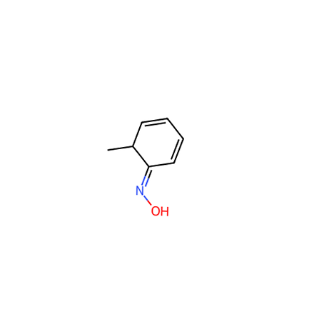 CC1C=CC=CC1=NO